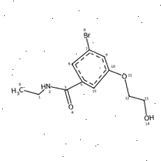 CCNC(=O)c1cc(Br)cc(OCCO)c1